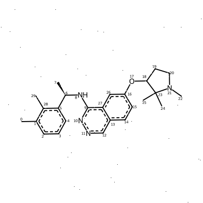 Cc1cccc([C@@H](C)Nc2nncc3ccc(OC4CCN(C)C4(C)C)cc23)c1C